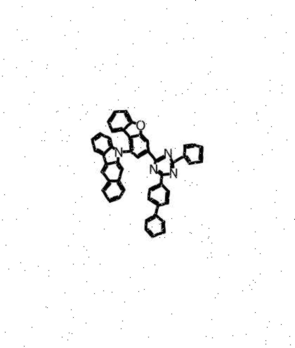 c1ccc(-c2ccc(-c3nc(-c4ccccc4)nc(-c4cc(-n5c6ccccc6c6cc7ccccc7cc65)c5c(c4)oc4ccccc45)n3)cc2)cc1